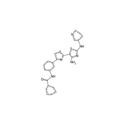 Nc1nc(Nc2cccnc2)sc1-c1nc(-c2cccc(NC(=O)c3ccccc3)c2)cs1